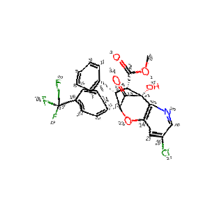 COC(=O)[C@H]1[C@@H](c2ccccc2)[C@]2(c3ccc(C(F)(F)F)cc3)Oc3cc(Cl)cnc3[C@@]1(O)C2=O